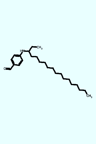 CCCCCCCCCCCCCCCC(CC)Nc1ccc(C=O)cc1